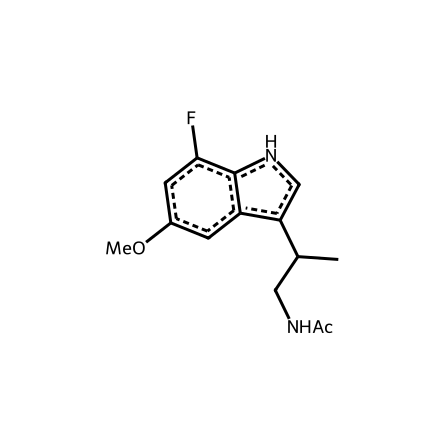 COc1cc(F)c2[nH]cc(C(C)CNC(C)=O)c2c1